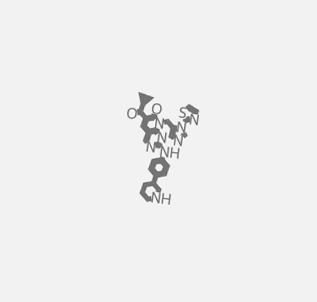 O=C(c1cc2cnc(Nc3ccc(C4CCCNC4)cc3)nc2n(Cc2cncn2-c2nccs2)c1=O)C1CC1